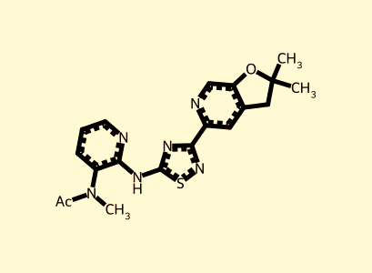 CC(=O)N(C)c1cccnc1Nc1nc(-c2cc3c(cn2)OC(C)(C)C3)ns1